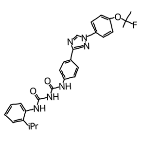 CC(C)c1ccccc1NC(=O)NC(=O)Nc1ccc(-c2ncn(-c3ccc(OC(C)(C)F)cc3)n2)cc1